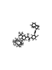 [2H]C1([2H])N(C)C([2H])([2H])C([2H])([2H])N(Cc2ccc(NC(=O)c3ccc(C)c(C#Cc4cnc5cccnn45)c3)cc2C(F)(F)F)C1([2H])[2H]